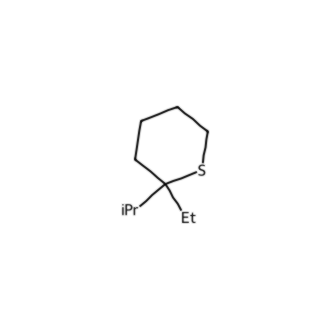 CCC1(C(C)C)CCCCS1